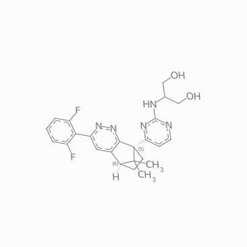 CC1(C)[C@H]2CC[C@]1(c1ccnc(NC(CO)CO)n1)c1nnc(-c3c(F)cccc3F)cc12